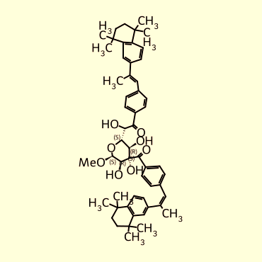 CO[C@H]1O[C@H](C(O)C(=O)c2ccc(C=C(C)c3ccc4c(c3)C(C)(C)CCC4(C)C)cc2)[C@@H](O)[C@@](O)(C(=O)c2ccc(C=C(C)c3ccc4c(c3)C(C)(C)CCC4(C)C)cc2)[C@H]1O